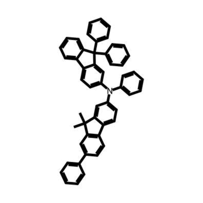 CC1(C)c2cc(-c3ccccc3)ccc2-c2ccc(N(c3ccccc3)c3ccc4c(c3)C(c3ccccc3)(c3ccccc3)c3ccccc3-4)cc21